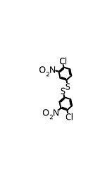 O=[N+]([O-])c1cc(SSc2ccc(Cl)c([N+](=O)[O-])c2)ccc1Cl